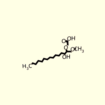 CCCCCCCCCCCCC(O)C(COC)OCC(=O)O